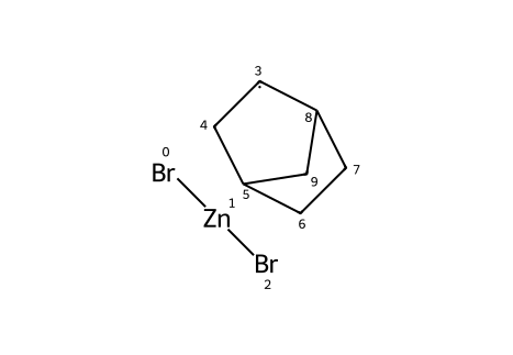 [Br][Zn][Br].[CH]1CC2CCC1C2